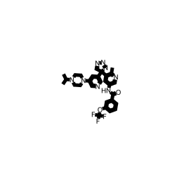 Cc1ncc(NC(=O)c2cccc(OC(F)(F)F)c2)cc1C1(c2cncc(N3CCN(C(C)C)CC3)c2)C=NN=N1